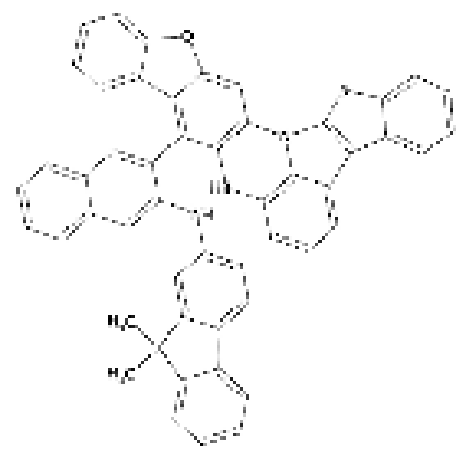 CC1(C)c2ccccc2-c2ccc(Nc3cc4ccccc4cc3-c3c4c(cc5oc6ccccc6c35)-n3c5sc6ccccc6c5c5cccc(c53)B4)cc21